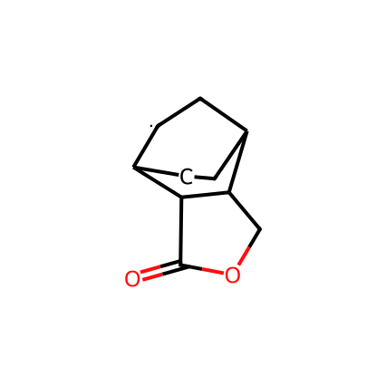 O=C1OCC2C3C[CH]C(CC3)C12